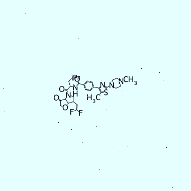 Cc1sc(N2CCN(C)CC2)nc1-c1ccc(C(=O)NC(CC(C)C)C(=O)N2CC(C=C(F)F)C3OCC(=O)C32)cc1